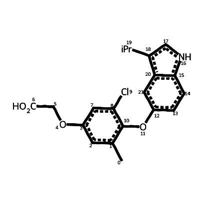 Cc1cc(OCC(=O)O)cc(Cl)c1Oc1ccc2[nH]cc(C(C)C)c2c1